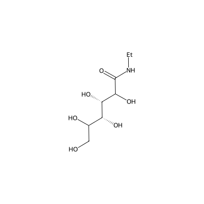 CCNC(=O)C(O)[C@@H](O)[C@H](O)C(O)CO